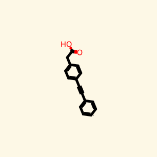 O=C(O)Cc1ccc(C#Cc2cc[c]cc2)cc1